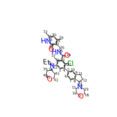 CCN(c1cc(-c2ccc3c(c2)CCC3N2CCOCC2)c(Cl)c(C(=O)NCc2c(C)cc(C)[nH]c2=O)c1C)C1CCOCC1